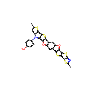 Cc1cc2c(s1)c1sc3c4cc5oc6c(sc7c8sc(C)nc8sc67)c5cc4oc3c1n2-c1ccc(O)cc1